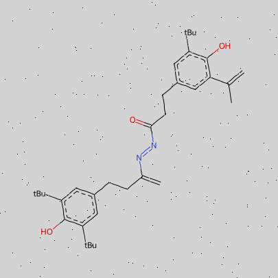 C=C(CCc1cc(C(C)(C)C)c(O)c(C(C)(C)C)c1)/N=N/C(=O)CCc1cc(C(=C)C)c(O)c(C(C)(C)C)c1